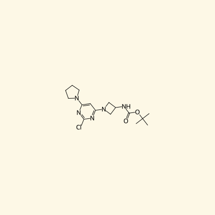 CC(C)(C)OC(=O)NC1CN(c2cc(N3CCCC3)nc(Cl)n2)C1